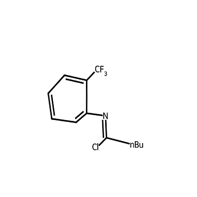 CCCCC(Cl)=Nc1ccccc1C(F)(F)F